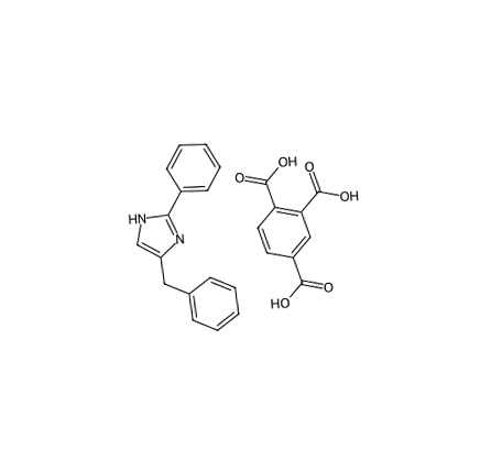 O=C(O)c1ccc(C(=O)O)c(C(=O)O)c1.c1ccc(Cc2c[nH]c(-c3ccccc3)n2)cc1